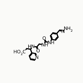 NN=Cc1ccc(NC(=O)NCC(=O)NC(CC(=O)O)c2cccnc2)cc1